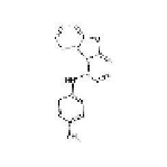 Cc1ccc(Nc2cccc3oc4ccccc4c23)cc1